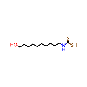 OCCCCCCCCCCNC(=S)S